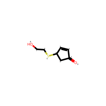 O=C1C=CC(SCCO)C1